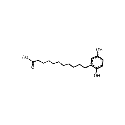 O=C(O)CCCCCCCCCCc1cc(O)ccc1O